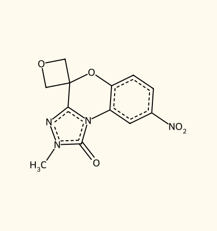 Cn1nc2n(c1=O)-c1cc([N+](=O)[O-])ccc1OC21COC1